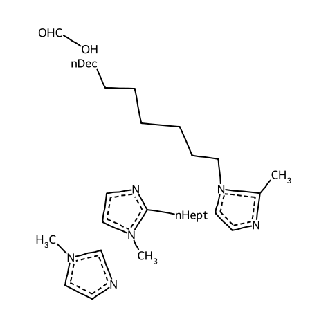 CCCCCCCCCCCCCCCCn1ccnc1C.CCCCCCCc1nccn1C.Cn1ccnc1.O=CO